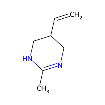 C=CC1CN=C(C)NC1